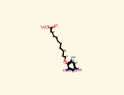 O=C(O)CCCCCCCCCCOc1c(I)cc(I)cc1I